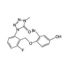 Cn1nnn(-c2cccc(F)c2COc2ccc(O)cc2Br)c1=O